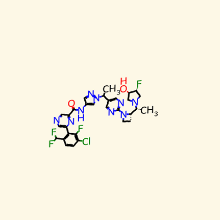 CC(c1cnc(N2CC[C@H]2[C@@H](C)N2C[C@@H](O)[C@H](F)C2)nc1)n1cc(NC(=O)c2cncc(-c3c(C(F)F)ccc(Cl)c3F)n2)cn1